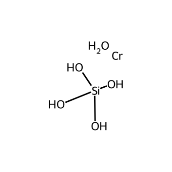 O.O[Si](O)(O)O.[Cr]